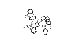 c1ccc2c(c1)Oc1ccccc1N2c1cc2c3c4c1c1c5ccccc5ccc1n4-c1cc4c(cc1B3n1c3ccccc3c3cccc-2c31)oc1ccccc14